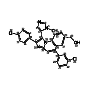 Cn1cncc1-c1c(-c2ccc(Cl)cc2)nc2cc(-c3cccc(Cl)c3)c3cc(CO)ccc3n12